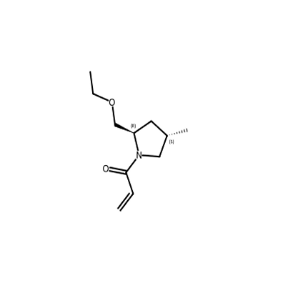 C=CC(=O)N1C[C@@H](C)C[C@@H]1COCC